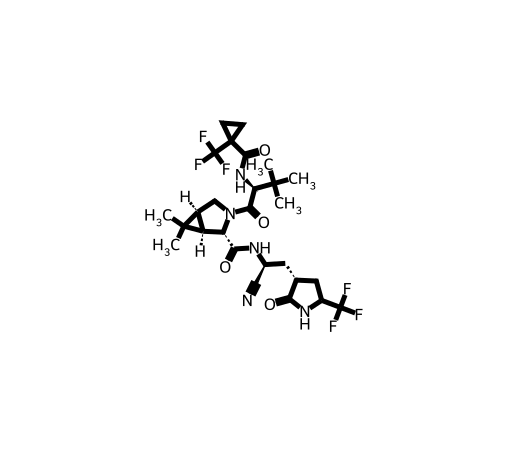 CC(C)(C)[C@H](NC(=O)C1(C(F)(F)F)CC1)C(=O)N1C[C@H]2[C@@H]([C@H]1C(=O)N[C@H](C#N)C[C@@H]1CC(C(F)(F)F)NC1=O)C2(C)C